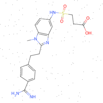 Cn1c(CCc2ccc(C(=N)N)cc2)nc2cc(NS(=O)(=O)CCC(=O)O)ccc21